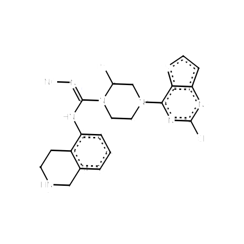 CC(C)C1CN(c2nc(Cl)nc3ccsc23)CCN1/C(=N/C#N)Nc1cccc2c1CCNC2